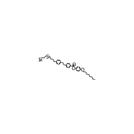 CCCCCCCCOc1ccc(OC(=O)c2ccc(CCc3ccc(CCCC[Si](C)(C)CCC[Si](C)(C)C)cc3)cc2)cc1